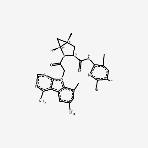 Cc1cc(F)c(Br)nc1NC(=O)[C@@H]1C[C@@]2(C)C[C@H]2N1C(=O)Cn1c2ncnc(N)c2c2cc(C(F)(F)F)cc(C)c21